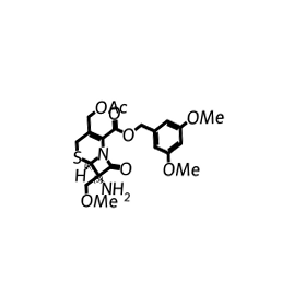 COC[C@]1(N)C(=O)N2C(C(=O)OCc3cc(OC)cc(OC)c3)=C(COC(C)=O)CS[C@@H]21